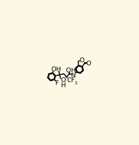 CC(C)(CC(O)(C(=O)Nc1ccc2c(c1)COC2=O)C(F)(F)F)c1c(O)cccc1F